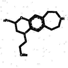 CCCC1CN(CCOC)c2cc3c(cc2O1)CCNCC3